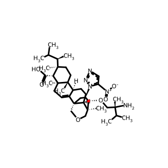 CC(C)[C@@H](C)[C@@]1(C)CC[C@]2(C)[C@H]3CC[C@@H]4[C@@]5(COC[C@]4(C)[C@@H](OC[C@](C)(N)C(C)C)[C@H](n4nncc4[N+](=O)[O-])C5)C3=CC[C@@]2(C)[C@@H]1C(=O)O